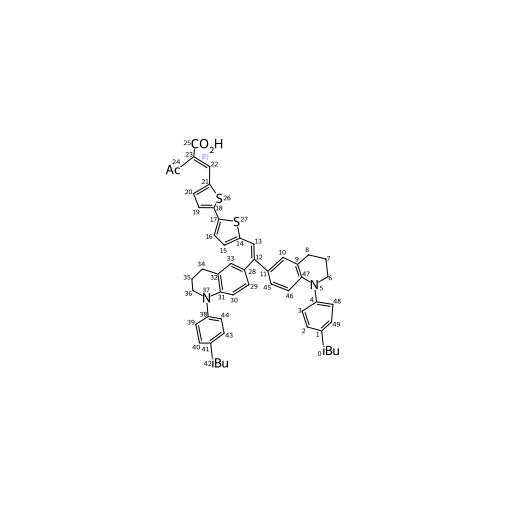 CCC(C)c1ccc(N2CCCc3cc(C(=Cc4ccc(-c5ccc(/C=C(\C(C)=O)C(=O)O)s5)s4)c4ccc5c(c4)CCCN5c4ccc(C(C)CC)cc4)ccc32)cc1